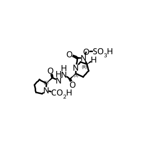 O=C(NNC(=O)[C@@H]1CC[C@@H]2CN1C(=O)N2OS(=O)(=O)O)[C@@H]1CCCCN1C(=O)O